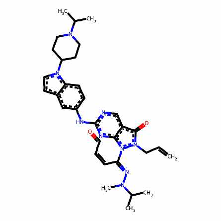 C=CCn1c(=O)c2cnc(Nc3ccc4c(ccn4C4CCN(C(C)C)CC4)c3)nc2n1C(/C=C\C=O)=N/N(C)C(C)C